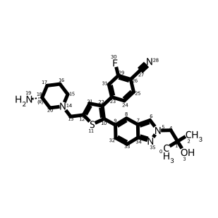 CC(C)(O)Cn1cc2cc(-c3sc(CN4CCC[C@@H](N)C4)cc3-c3ccc(C#N)c(F)c3)ccc2n1